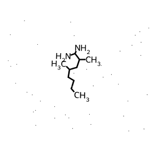 CCCCC(C)CC(C)C(N)N